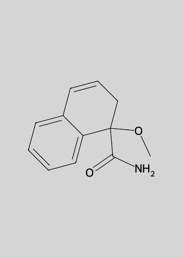 COC1(C(N)=O)CC=Cc2ccccc21